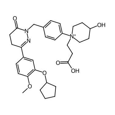 COc1ccc(C2=NN(Cc3ccc([N+]4(CCC(=O)O)CCC(O)CC4)cc3)C(=O)CC2)cc1OC1CCCC1